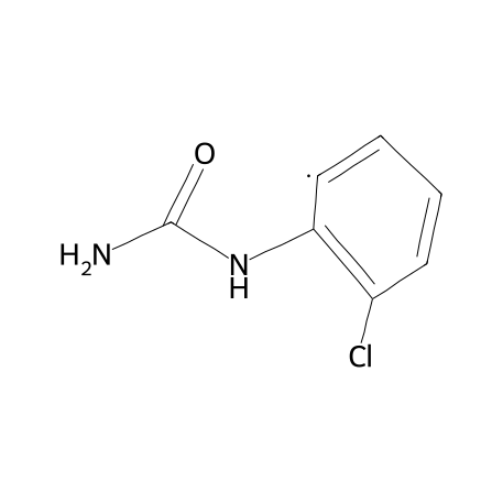 NC(=O)Nc1[c]cccc1Cl